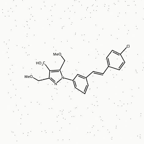 COCc1nn(-c2cccc(C=Cc3ccc(Cl)cc3)c2)c(COC)c1C(=O)O